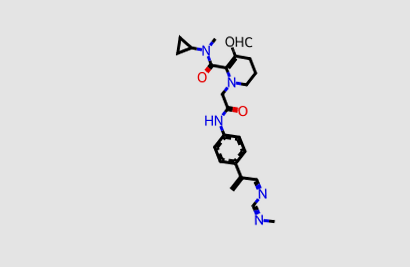 C=C(/C=N\C=N/C)c1ccc(NC(=O)CN2CCCC(C=O)=C2C(=O)N(C)C2CC2)cc1